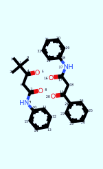 CC(C)(C)C(=O)CC(=O)Nc1ccccc1.O=C(CC(=O)c1ccccc1)Nc1ccccc1